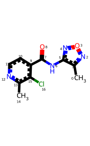 Cc1nonc1NC(=O)c1ccnc(C)c1Cl